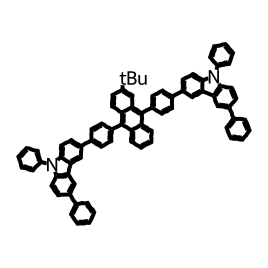 CC(C)(C)c1ccc2c(-c3ccc(-c4ccc5c(c4)c4cc(-c6ccccc6)ccc4n5-c4ccccc4)cc3)c3ccccc3c(-c3ccc(-c4ccc5c(c4)c4cc(-c6ccccc6)ccc4n5-c4ccccc4)cc3)c2c1